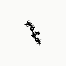 CCOC(=O)C(C)(C)Oc1ccc(CN(Cc2ccco2)c2sc(-c3ccc(C(F)(F)F)cc3)nc2C)cc1C